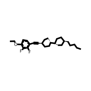 CCCCC[C@H]1CC[C@H]([C@H]2CC[C@H](C#Cc3ccc(OCC)c(F)c3F)CC2)CC1